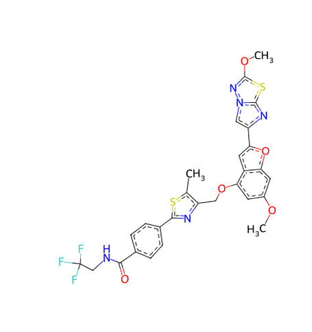 COc1cc(OCc2nc(-c3ccc(C(=O)NCC(F)(F)F)cc3)sc2C)c2cc(-c3cn4nc(OC)sc4n3)oc2c1